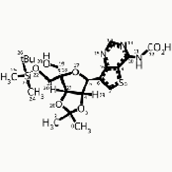 CC1(C)O[C@H]2[C@H](c3csc4c(NC(=O)O)ncnc34)O[C@](CO)(CO[Si](C)(C)C(C)(C)C)[C@H]2O1